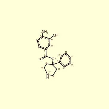 Nc1ccc(C(=O)OC2(c3ccccc3)CCNCC2)cc1Cl